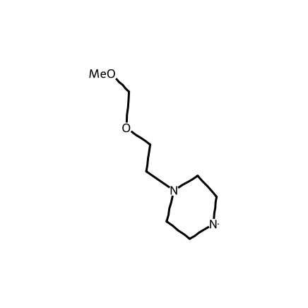 COCOCCN1CC[N]CC1